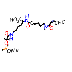 COP(C)COC(C)(C)C(=O)NCCCCC(NC(=O)CCCCCN(C)C(=O)/C=C\C=O)C(=O)O